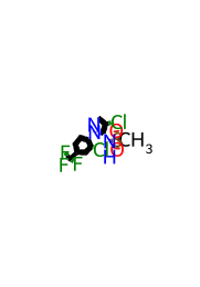 CS(=O)(=O)Nc1c(Cl)cnn1-c1ccc(C(F)(F)F)cc1Cl